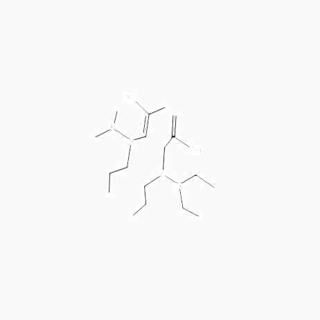 C=C(O)CN(CCC)N(CC)CC.CCCN(C=C(C)O)N(C)C